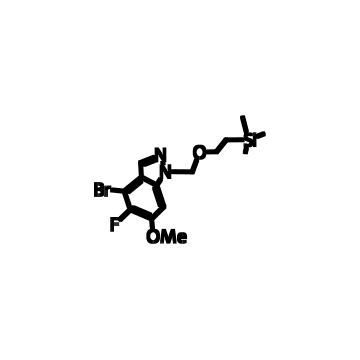 COc1cc2c(cnn2COCC[Si](C)(C)C)c(Br)c1F